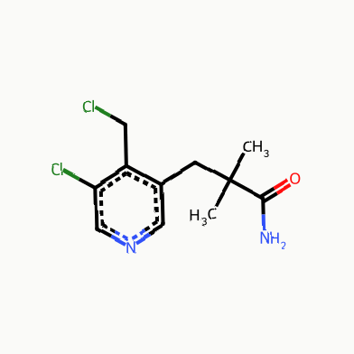 CC(C)(Cc1cncc(Cl)c1CCl)C(N)=O